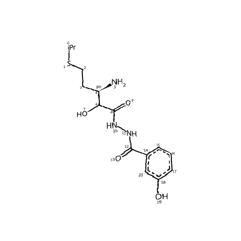 CC(C)SCC[C@@H](N)C(O)C(=O)NNC(=O)c1cccc(O)c1